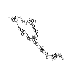 C=C(C)C(=O)OCCCCCCOc1ccc(OC(=O)C2CCC(COc3ccc4c5ccc(OCC6CCC(C(=O)Oc7ccc(OCC(C)CCCCOC(=O)C(=C)C)cc7)CC6)cc5c5nc6ccc(-c7cccc(OCCOCCOC(=O)C(=C)C)c7)cc6nc5c4c3)CC2)cc1